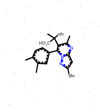 CCCC(C)(C(=O)O)c1c(C)nc2cc(C(C)(C)C)nn2c1-c1ccc(C)c(C)c1